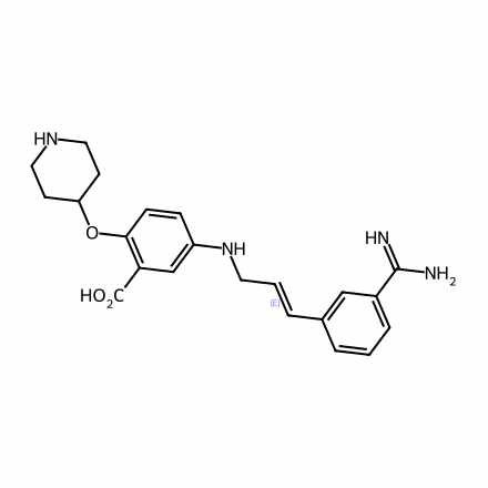 N=C(N)c1cccc(/C=C/CNc2ccc(OC3CCNCC3)c(C(=O)O)c2)c1